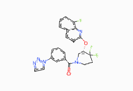 O=C(c1cccc(-n2ccnn2)c1)N1CCC(F)(F)[C@@H](Oc2ccc3cccc(F)c3n2)C1